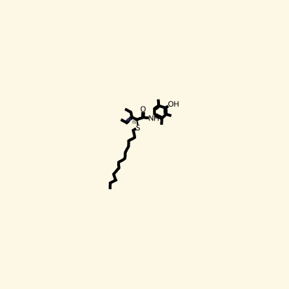 C/C=C(\CC)[C@H](SCCCCCCCCCCCC)C(=O)Nc1cc(C)c(O)c(C)c1C